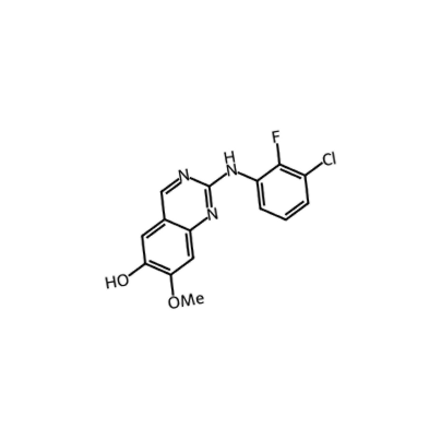 COc1cc2nc(Nc3cccc(Cl)c3F)ncc2cc1O